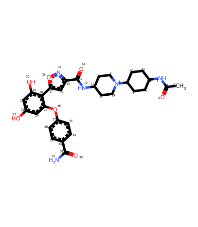 CC(=O)NC1CCC(N2CCC(NC(=O)c3cc(-c4c(O)cc(O)cc4Oc4ccc(C(N)=O)cc4)on3)CC2)CC1